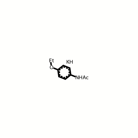 CCOc1ccc(NC(C)=O)cc1.[KH]